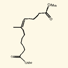 COC(=O)CCC=C(C)CCCC(=O)OC